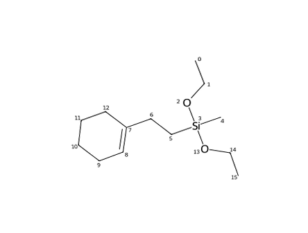 CCO[Si](C)(CCC1=CCCCC1)OCC